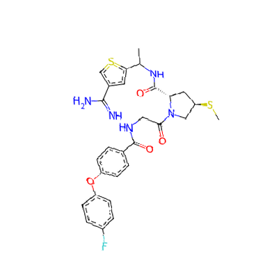 CS[C@@H]1C[C@@H](C(=O)NC(C)c2cc(C(=N)N)cs2)N(C(=O)CNC(=O)c2ccc(Oc3ccc(F)cc3)cc2)C1